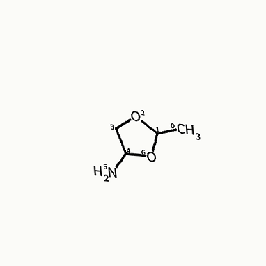 CC1OCC(N)O1